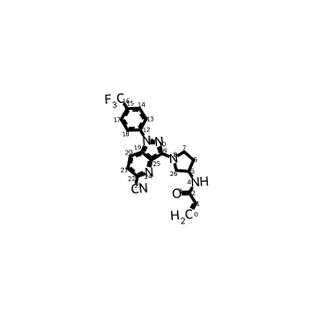 C=CC(=O)NC1CCN(c2nn(-c3ccc(C(F)(F)F)cc3)c3ccc(C#N)nc23)C1